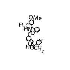 COc1ccc(C(NC(=O)Cc2ccc3oc(C(C)(O)c4ccncc4)cc3c2)c2ccccc2)c(C)c1